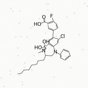 CCCCCCCCC1CN(c2ccccc2)c2cc(Cl)c(-c3ccc(F)c(C(=O)O)c3)cc2S(O)(O)N1C